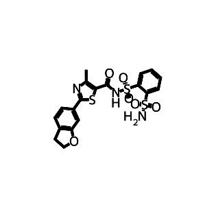 Cc1nc(-c2ccc3c(c2)OCC3)sc1C(=O)NS(=O)(=O)c1ccccc1S(N)(=O)=O